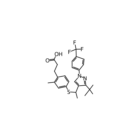 Cc1cc(SC(C)c2cn(-c3ccc(C(F)(F)F)cc3)nc2C(C)(C)C)ccc1CCC(=O)O